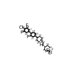 C[Si@]1(Cl)CC[C@@H](CC[SiH]2CCC(c3ccc(-c4cc(F)c(Cl)c(F)c4)c(F)c3)CC2)CC1